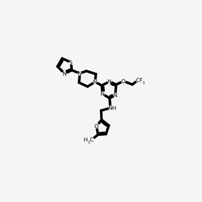 Cc1ccc(CNc2nc(OCC(F)(F)F)nc(N3CCN(c4nccs4)CC3)n2)o1